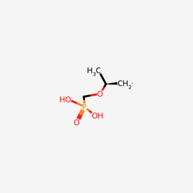 [CH2][C@H](C)OCP(=O)(O)O